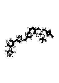 CC(C)(C)OC(=O)N(Cc1ccc2nc(Cn3cc(-c4cncc(-n5cnnc5)c4)nn3)cn2c1)CC12CC(F)(C1)C2